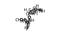 CC(C)(CNC(=O)C(=O)Nc1cn[nH]c1)CNC(=O)c1ccc(Nc2nc(NC3(c4ccc(Cl)cc4)CC3)nc(OCC(F)(F)F)n2)cc1